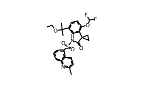 CCOC(C)(C)c1ccc(OC(F)F)c(C2(C(=O)NS(=O)(=O)c3cccc4nc(C)ccc34)CC2)c1